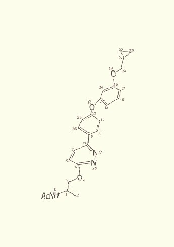 CC(=O)NC(C)COc1ccc(-c2ccc(Oc3cccc(OCC4CC4)c3)cc2)nn1